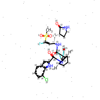 CS(=O)(=O)/C(F)=C\[C@H](C[C@H]1CCNC1=O)NC(=O)[C@H]1[C@H]2CC[C@H](CC2(F)F)N1C(=O)c1cc2cccc(Cl)c2[nH]1